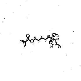 C=C(C)C(=O)OCCCCC[Si](CCC)(OC)OC